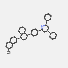 N#Cc1ccc2ccc(-c3ccc(-c4ccc(-c5cc(-c6ccccc6)cc(-c6ccccc6)n5)cc4)c4ccccc34)cc2c1